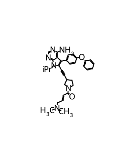 CC(C)n1c(C#CC2CCN(C(=O)/C=C/CN(C)C)C2)c(-c2ccc(Oc3ccccc3)cc2)c2c(N)ncnc21